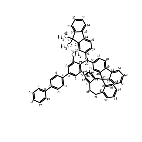 Cc1cc(-c2ccc(-c3ccccc3)cc2)cc(C)c1N(c1ccc2c(c1)C(C)(C)c1ccccc1-2)c1ccc2c(c1)C1(c3ccccc3CCc3ccccc31)c1ccccc1-2